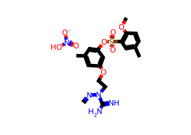 C=NN(CCOc1cc(C)cc(OS(=O)(=O)c2cc(C)ccc2OC)c1)C(=N)N.O=[N+]([O-])O